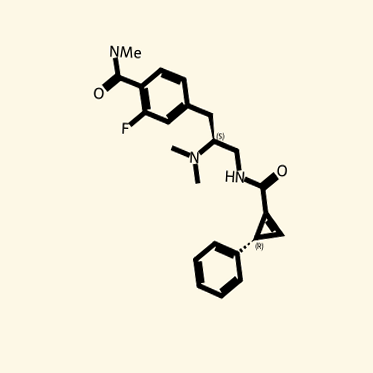 CNC(=O)c1ccc(C[C@@H](CNC(=O)C2=C[C@@H]2c2ccccc2)N(C)C)cc1F